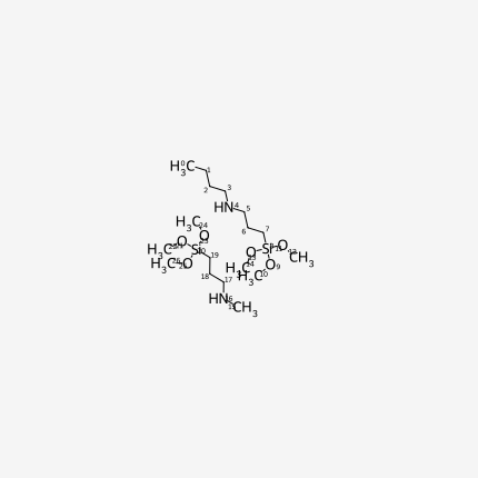 CCCCNCCC[Si](OC)(OC)OC.CNCCC[Si](OC)(OC)OC